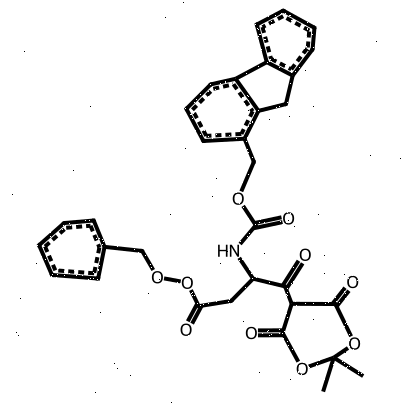 CC1(C)OC(=O)C(C(=O)C(CC(=O)OOCc2ccccc2)NC(=O)OCc2cccc3c2Cc2ccccc2-3)C(=O)O1